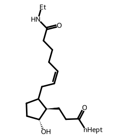 CCCCCCCC(=O)CC[C@@H]1C(C/C=C\CCCC(=O)NCC)CC[C@H]1O